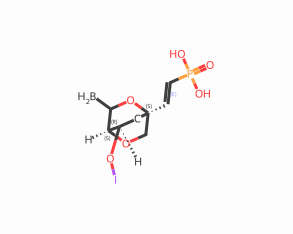 BC1O[C@@]2(/C=C/P(=O)(O)O)CO[C@@H]1[C@H](OI)C2